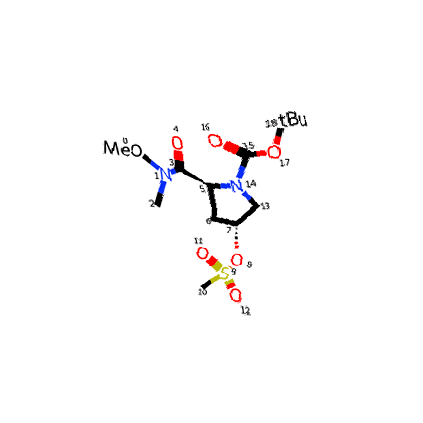 CON(C)C(=O)[C@@H]1C[C@@H](OS(C)(=O)=O)CN1C(=O)OC(C)(C)C